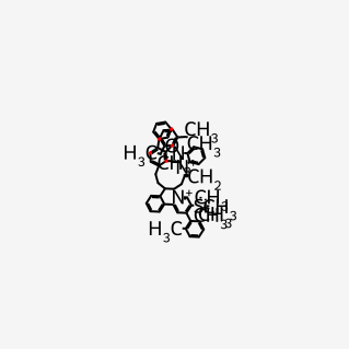 C=C1CC2C(CCc3ccc4c(oc5ccccc54)c3-c3n(-c4c(C(C)C)cccc4C(C)C)c4ccccc4[n+]31)c1ccccc1-c1cc(-c3c(C)cccc3C)c([Si](C)(C)C)c[n+]12